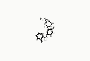 C[C@@]1(c2cc(Nc3ncccc3Cl)ccc2F)CCSC(N)=N1